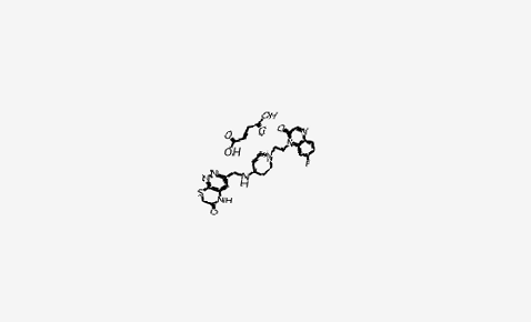 O=C(O)C=CC(=O)O.O=C1CSc2nnc(CNC3CCN(CCn4c(=O)cnc5ccc(F)cc54)CC3)cc2N1